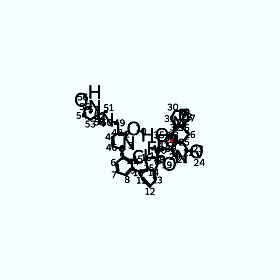 COc1nc(-c2cccc(-c3cccc4c3CC[C@@H]4Oc3nc(OC)c(CN4CC5CCC4(C(=O)O)CC5)cc3C(F)(F)F)c2Cl)ccc1CN1CC2(CCC(=O)N2)C1